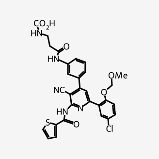 COCOc1ccc(Cl)cc1-c1cc(-c2cccc(NC(=O)CCNC(=O)O)c2)c(C#N)c(NC(=O)c2cccs2)n1